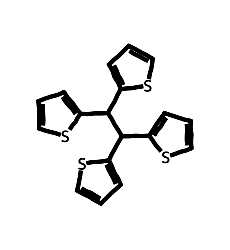 c1csc(C(c2cccs2)C(c2cccs2)c2cccs2)c1